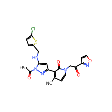 CC(C)(C)C(=O)n1nc(-c2c(C#N)ccn(CC(=O)c3ccon3)c2=O)cc1NCc1ccc(Cl)s1